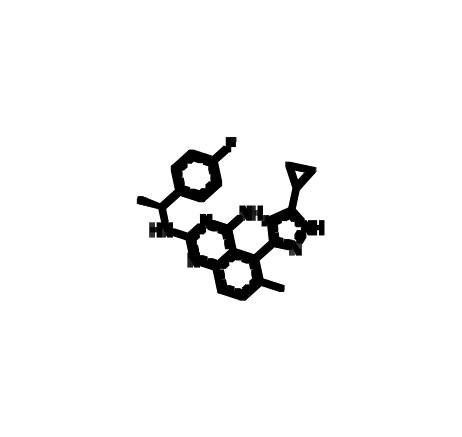 Cc1ccc2nc(N[C@@H](C)c3ccc(F)cc3)nc(N)c2c1-c1cc(C2CC2)[nH]n1